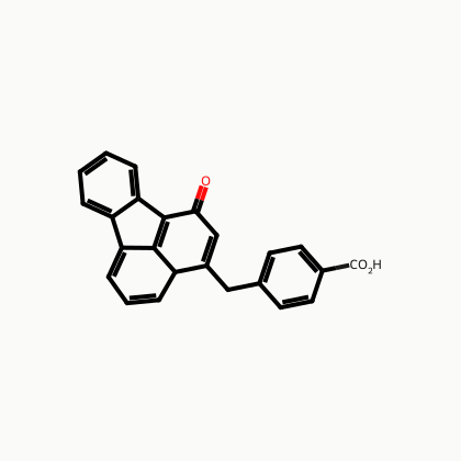 O=C1C=C(Cc2ccc(C(=O)O)cc2)C2C=CC=C3C2=C1c1ccccc13